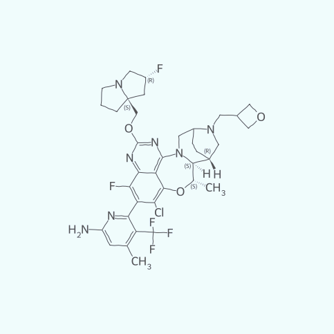 Cc1cc(N)nc(-c2c(Cl)c3c4c(nc(OC[C@@]56CCCN5C[C@H](F)C6)nc4c2F)N2CC4CC[C@H](CN4CC4COC4)[C@H]2[C@H](C)O3)c1C(F)(F)F